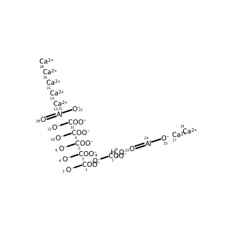 O.O=C([O-])[O-].O=C([O-])[O-].O=C([O-])[O-].O=C([O-])[O-].O=C([O-])[O-].O=C([O-])[O-].[Ca+2].[Ca+2].[Ca+2].[Ca+2].[Ca+2].[Ca+2].[Ca+2].[O]=[Al][O-].[O]=[Al][O-]